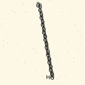 CC=C(C)C(=O)OCCOCCOCCOCCOCCOCCOCCOCCOCCOCCOCCOCCOCCOCCOCCOCCOCCOCCOCCO